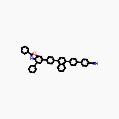 N#Cc1ccc(-c2ccc(-c3ccc(-c4ccc(-c5cc(-c6ccccc6)c6nc(-c7ccccc7)oc6c5)cc4)c4ccccc34)cc2)cc1